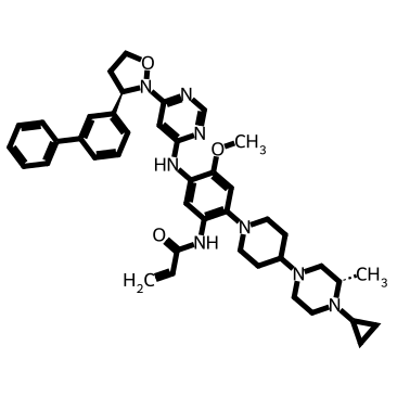 C=CC(=O)Nc1cc(Nc2cc(N3OCC[C@@H]3c3cccc(-c4ccccc4)c3)ncn2)c(OC)cc1N1CCC(N2CCN(C3CC3)[C@@H](C)C2)CC1